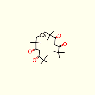 CC(C)(C)C(=O)CC(=O)C(C)(C)[CH2][Ca][CH2]C(C)(C)C(=O)CC(=O)C(C)(C)C